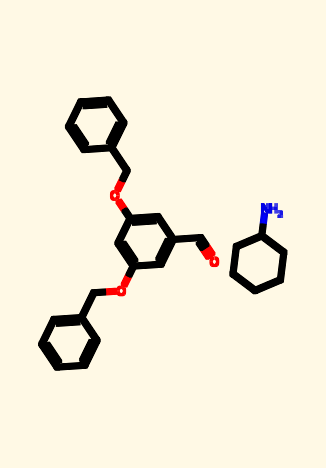 NC1CCCCC1.O=Cc1cc(OCc2ccccc2)cc(OCc2ccccc2)c1